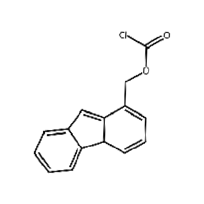 O=C(Cl)OCC1=CC=CC2C1=Cc1ccccc12